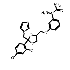 NC(=O)N(N)c1cccc(OCC2COC(Cn3ccnc3)(c3ccc(Cl)cc3Cl)O2)c1